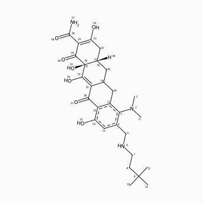 CN(C)c1c(CNCCC(C)(C)C)cc(O)c2c1CC1C[C@H]3CC(O)=C(C(N)=O)C(=O)[C@@]3(O)C(O)=C1C2=O